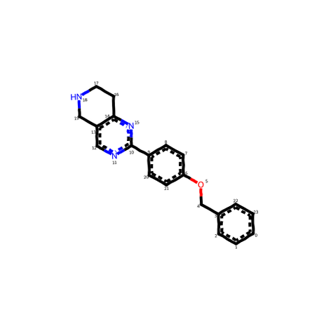 c1ccc(COc2ccc(-c3ncc4c(n3)CCNC4)cc2)cc1